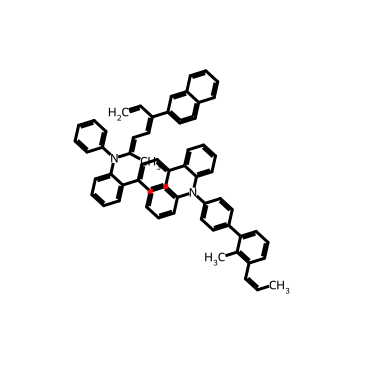 C=C/C(=C\C=C(/C)N(c1ccccc1)c1ccccc1-c1ccc(-c2ccccc2N(c2ccccc2)c2ccc(-c3cccc(/C=C\C)c3C)cc2)cc1)C1=C=C=c2ccccc2=C1